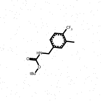 Cc1cc(CNC(=O)OC(C)(C)C)ccc1C(F)(F)F